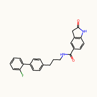 O=C1Cc2cc(C(=O)NCCCc3ccc(-c4ccccc4F)cc3)ccc2N1